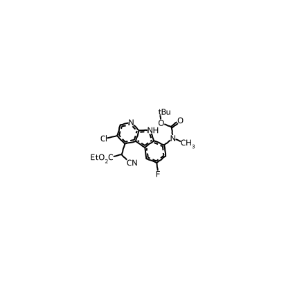 CCOC(=O)C(C#N)c1c(Cl)cnc2[nH]c3c(N(C)C(=O)OC(C)(C)C)cc(F)cc3c12